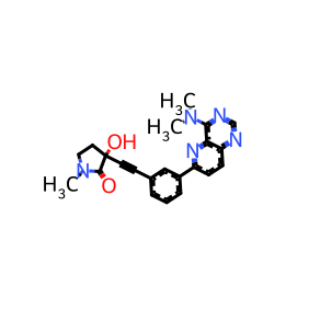 CN1CCC(O)(C#Cc2cccc(-c3ccc4ncnc(N(C)C)c4n3)c2)C1=O